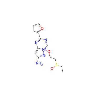 CC[S+]([O-])CCO[N+]12C=NC(c3ccco3)=NC1=CC(N)=N2